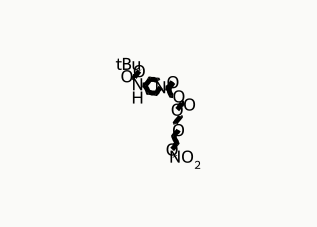 CC(C)(C)OC(=O)NC1CCN(C(=O)COC(=O)OCCOCCO[N+](=O)[O-])CC1